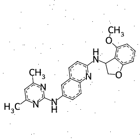 COc1cccc2c1C(Nc1ccc3cc(Nc4nc(C)cc(C)n4)ccc3n1)CO2